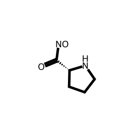 O=NC(=O)[C@H]1CCCN1